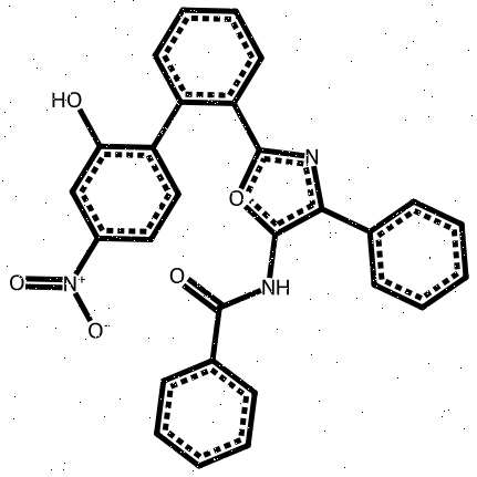 O=C(Nc1oc(-c2ccccc2-c2ccc([N+](=O)[O-])cc2O)nc1-c1ccccc1)c1ccccc1